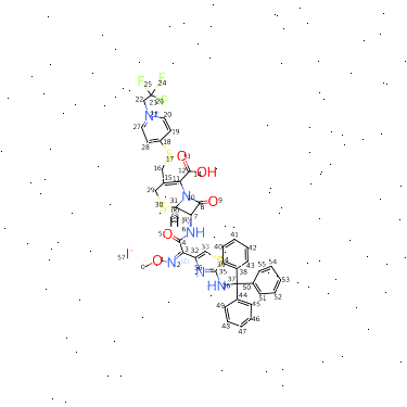 CO/N=C(\C(=O)N[C@@H]1C(=O)N2C(C(=O)O)=C(CSc3cc[n+](CC(F)(F)F)cc3)CS[C@H]12)c1csc(NC(c2ccccc2)(c2ccccc2)c2ccccc2)n1.[I-]